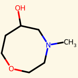 CN1CCOCCC(O)C1